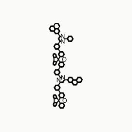 C1=Cc2cc(-c3cc(-c4cccc(-c5ccc6c(c5)C5(c7cc(-c8cccc(-c9nc(-c%10cccc(-c%11ccc%12c(c%11)C%11(c%13ccccc%13O%12)c%12ccccc%12-c%12ccccc%12%11)c%10)cc(-c%10ccc%11c(ccc%12ccccc%12%11)c%10)n9)c8)ccc7O6)c6ccccc6-c6ccccc65)c4)nc(-c4ccccc4)n3)cc3cccc(c23)C1